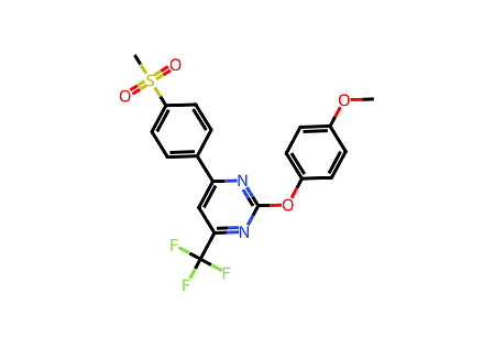 COc1ccc(Oc2nc(-c3ccc(S(C)(=O)=O)cc3)cc(C(F)(F)F)n2)cc1